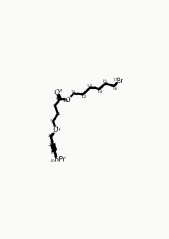 CCCC#CCOCCCC(=O)OCCCCCCBr